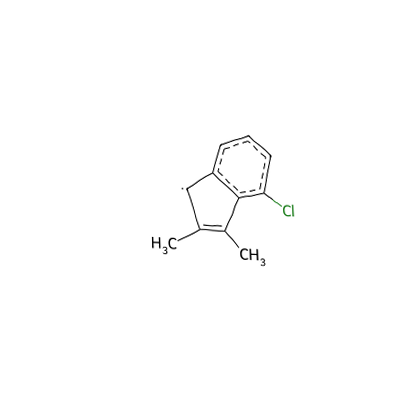 CC1=C(C)c2c(Cl)cccc2[CH]1